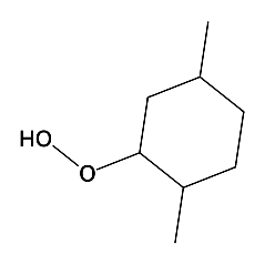 CC1CCC(C)C(OO)C1